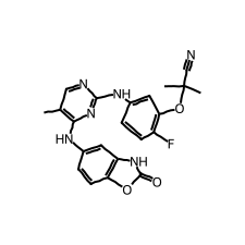 Cc1cnc(Nc2ccc(F)c(OC(C)(C)C#N)c2)nc1Nc1ccc2oc(=O)[nH]c2c1